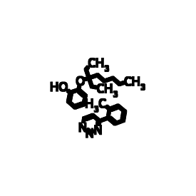 CCCCCC(CC)(CC)Oc1ccccc1O.Cc1ccccc1-c1ccnnn1